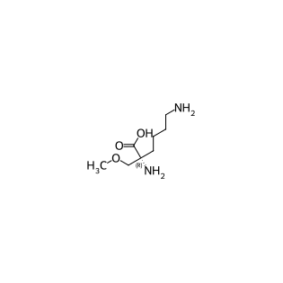 COC[C@](N)(CCCCN)C(=O)O